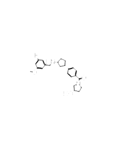 COc1cc(F)cc([C@@H](C)N[C@H]2CC[C@@H](c3ccc(C(=O)N4CC[C@H](O)C4)cc3)C2)c1